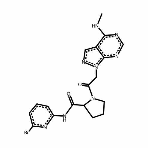 CNc1ncnc2c1cnn2CC(=O)N1CCCC1C(=O)Nc1cccc(Br)n1